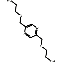 OCCOCc1cnc(COCCO)cn1